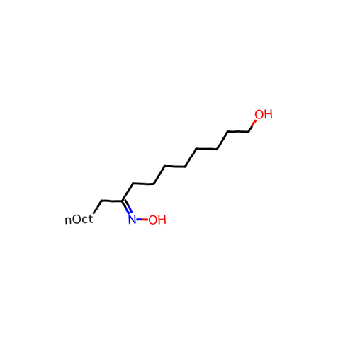 CCCCCCCCCC(CCCCCCCCO)=NO